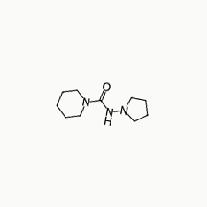 O=C(NN1CCCC1)N1CCCCC1